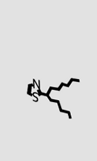 CCCCCCC(CCCCC)c1nccs1